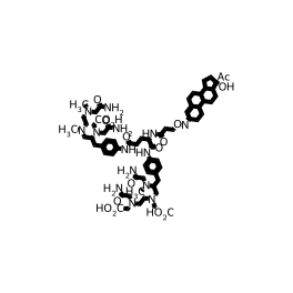 CC(=O)C1(O)CCC2C3CCC4=C/C(=N\OCCC(=O)NC(CCC(=O)Nc5ccc(CC(CN(C)CCN(C)CC(N)=O)N(CC(N)=O)CC(=O)O)cc5)C(=O)Nc5ccc(CC(CN(CCN(CC(N)=O)CC(=O)O)CC(=O)O)N(C)CC(N)=O)cc5)CCC4C3CCC21